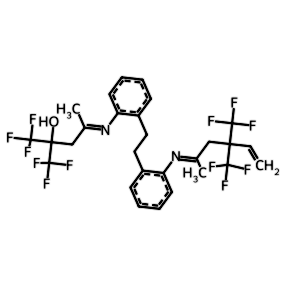 C=CC(C/C(C)=N/c1ccccc1CCc1ccccc1/N=C(\C)CC(O)(C(F)(F)F)C(F)(F)F)(C(F)(F)F)C(F)(F)F